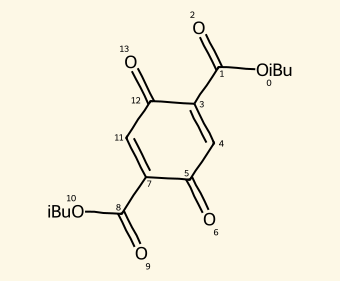 CC(C)COC(=O)C1=CC(=O)C(C(=O)OCC(C)C)=CC1=O